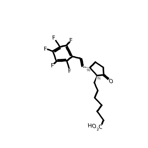 O=C(O)CCCCCC[C@@H]1C(=O)CC[C@H]1C=Cc1c(F)c(F)c(F)c(F)c1F